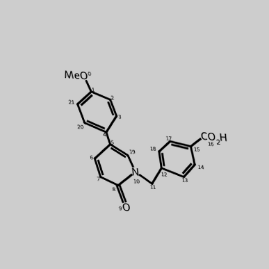 COc1ccc(-c2ccc(=O)n(Cc3ccc(C(=O)O)cc3)c2)cc1